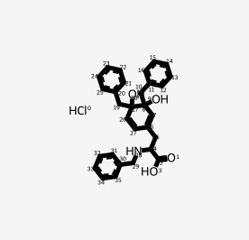 Cl.O=C(O)C(CC1=CC(O)(Cc2ccccc2)C(O)(Cc2ccccc2)C=C1)NCc1ccccc1